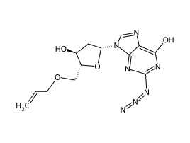 C=CCOC[C@H]1O[C@@H](n2cnc3c(O)nc(N=[N+]=[N-])nc32)C[C@@H]1O